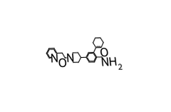 NC(=O)c1ccc(C2CCN(C(=O)Cc3ccccn3)CC2)cc1C1=CCCCC1